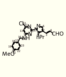 CCCc1c(C=CC=O)cnn1-c1nc(Cl)cc(NCc2ccc(OC)cc2)n1